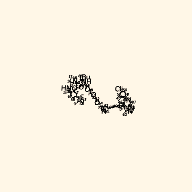 Cc1ncsc1-c1ccc([C@H](C)NC(=O)[C@@H]2CCCN2C(=O)[C@@H](NC(=O)COCCOCCOCCn2cc(C#Cc3sc4c(c3C)C(c3ccc(Cl)cc3)=N[C@@H](C)c3nnc(C)n3-4)cn2)C(C)(C)C)cc1